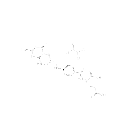 ClC(Cl)C(Cl)Cl.Nc1nc(=O)c2c([nH]1)NC[C@@H](CNc1ccc(C(=O)N[C@@H](CCC(=O)O)C(=O)O)cc1)N2